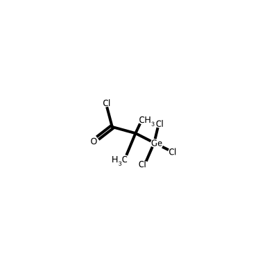 C[C](C)(C(=O)Cl)[Ge]([Cl])([Cl])[Cl]